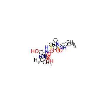 CCCCC1(CCCC)CN(c2ccccc2)c2cc(SC)c(OCC(=O)NC(C(=O)N[C@H](C(=O)O)C(C)C)C3C=CC(O)=CC3C)cc2S(=O)(=O)N1